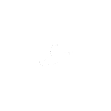 CCCCCCCOCCCCCCC.CCC[CH2][Sn][CH2]CC